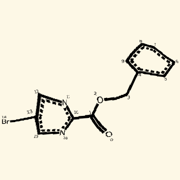 O=C(OCc1ccccc1)c1ncc(Br)cn1